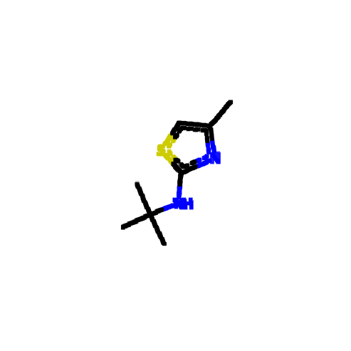 Cc1csc(NC(C)(C)C)n1